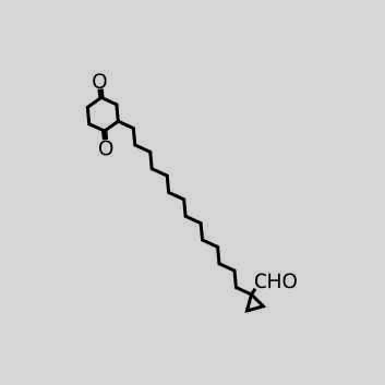 O=CC1(CCCCCCCCCCCCCCC2CC(=O)CCC2=O)CC1